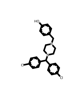 Oc1ccc(CN2CCN(C(c3ccc(Cl)cc3)c3ccc(Cl)cc3)CC2)cc1